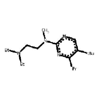 CCN(CC)CCN(C)c1ncc(C(C)(C)C)c(C(C)C)n1